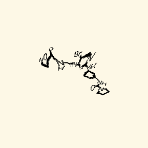 O=C(NCCCNc1nc(Nc2cccc(NC(=O)N3CCCC3)c2)ncc1Br)c1ccno1